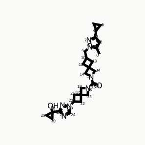 Cc1cc(C2CC2)nn1CC1CC2(C1)CN(C(=O)N1CC3(CC(n4cnc(C5(O)CC5)n4)C3)C1)C2